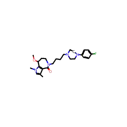 COC1CCN(CCCCN2CCN(c3ccc(F)cc3)CC2)C(=O)c2c(C)cn(C)c21